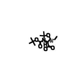 CC[C@H]1OC(C)(C)N(C(=O)OC(C)(C)C)[C@@H]1C(=O)O